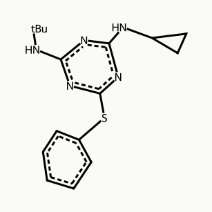 CC(C)(C)Nc1nc(NC2CC2)nc(Sc2ccccc2)n1